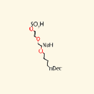 CCCCCCCCCCCCCCOCCOCCOS(=O)(=O)O.[NaH]